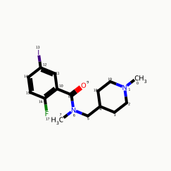 CN1CCC(CN(C)C(=O)c2cc(I)ccc2F)CC1